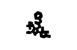 CCCC[C@H]1O[C@@H](n2ccc(=O)[nH]c2=O)[C@H](OC(=S)Oc2ccccc2)[C@@H]1O[Si](C)(C)C(C)(C)C